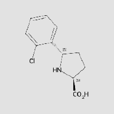 O=C(O)[C@@H]1CC[C@@H](c2ccccc2Cl)N1